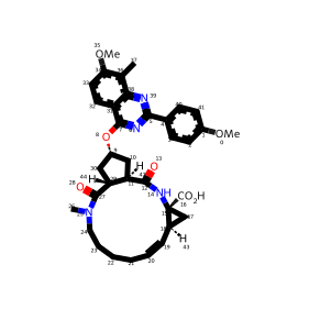 COc1ccc(-c2nc(O[C@@H]3C[C@H]4C(=O)N[C@]5(C(=O)O)C[C@H]5/C=C\CCCCN(C)C(=O)[C@@H]4C3)c3ccc(OC)c(C)c3n2)cc1